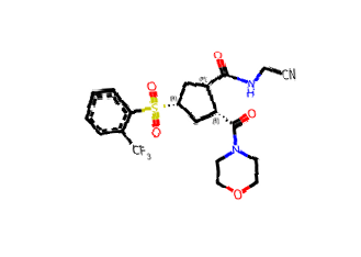 N#CCNC(=O)[C@@H]1C[C@@H](S(=O)(=O)c2ccccc2C(F)(F)F)C[C@H]1C(=O)N1CCOCC1